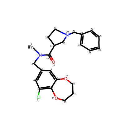 CC(C)N(Cc1cc(Cl)c2c(c1)OCCCO2)C(=O)C1CCN(Cc2ccccc2)C1